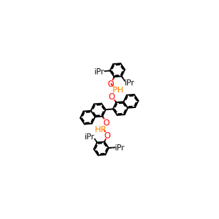 CC(C)c1cccc(C(C)C)c1OPOc1c(-c2ccc3ccccc3c2OPOc2c(C(C)C)cccc2C(C)C)ccc2ccccc12